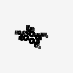 CCC1NC(C(=O)O)CC12CCN(c1cc(O[C@H](c3ccc(-c4ccc5sncc5c4)cc3)C(F)(F)F)nc(N)n1)CC2